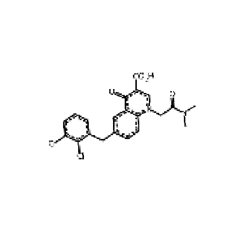 CN(C)C(=O)Cn1cc(C(=O)O)c(=O)c2cc(Cc3cccc(Cl)c3Cl)ccc21